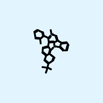 Cc1ccccc1-c1c2c3ccc4cc(C(C)(C)C)ccc4c3n3c4ccccc4c(c[n+]1C)c23